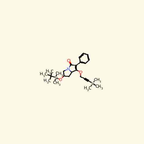 CC(C)(C)[Si](C)(C)OC1CC2C(OCC#C[Si](C)(C)C)=C(c3ccccc3)C(=O)N2C1